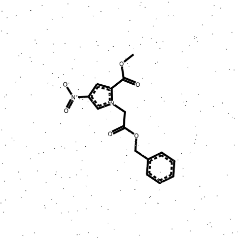 COC(=O)c1cc([N+](=O)[O-])cn1CC(=O)OCc1ccccc1